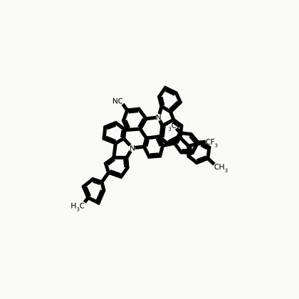 Cc1ccc(-c2ccc3c(c2)c2ccccc2n3-c2ccc(-c3ccc(C(F)(F)F)cc3C(F)(F)F)cc2-c2ccc(C#N)cc2-n2c3ccccc3c3cc(-c4ccc(C)cc4)ccc32)cc1